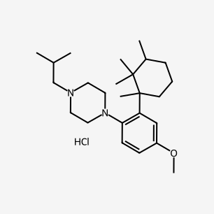 COc1ccc(N2CCN(CC(C)C)CC2)c(C2(C)CCCC(C)C2(C)C)c1.Cl